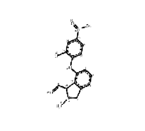 CN1Cc2cccc(Oc3ccc([N+](=O)[O-])cc3Cl)c2C1C=O